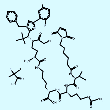 CC(C)[C@H](NC(=O)CCCCCN1C(=O)C=CC1=O)C(=O)N[C@@H](CCCNC(N)=O)C(=O)N[C@@H](CCCCNC(=O)[C@@H](N)CCN(C(=O)CO)[C@@H](c1nc(-c2cc(F)ccc2F)cn1Cc1ccccc1)C(C)(C)C)C(=O)O.O=C(O)C(F)(F)F